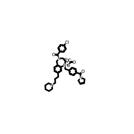 O=C(c1ccc(C[N+]2(OC(=O)C(F)(F)F)C(=O)CN(C(=O)c3ccc(Cl)cc3)Cc3ccc(CCCN4CCCCC4)cc32)cc1)N1CC=CC1